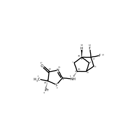 CC(C)[C@@]1(C)SC(N[C@@H]2C[C@H]3CC2CC3(F)F)=NC1=O